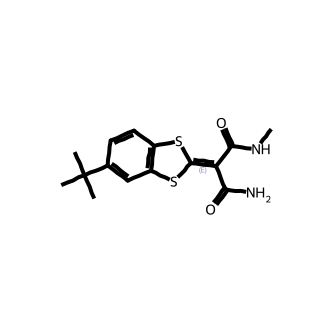 CNC(=O)/C(C(N)=O)=C1\Sc2ccc(C(C)(C)C)cc2S1